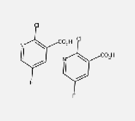 O=C(O)c1cc(F)cnc1Cl.O=C(O)c1cc(F)cnc1Cl